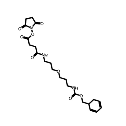 O=C(CCC(=O)ON1C(=O)CCC1=O)NCCCOCCCNC(=O)OCC1C=CC=CC1